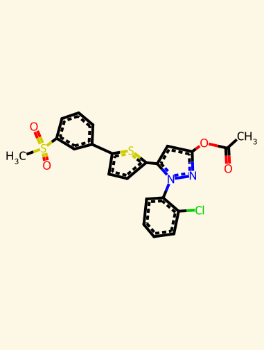 CC(=O)Oc1cc(-c2ccc(-c3cccc(S(C)(=O)=O)c3)s2)n(-c2ccccc2Cl)n1